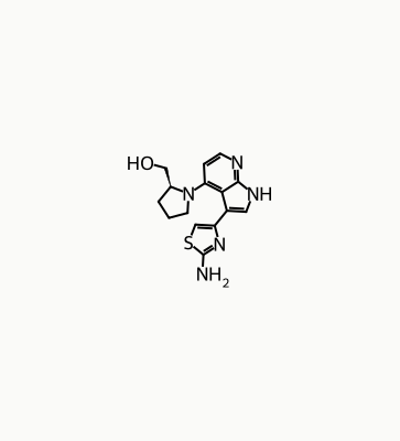 Nc1nc(-c2c[nH]c3nccc(N4CCC[C@H]4CO)c23)cs1